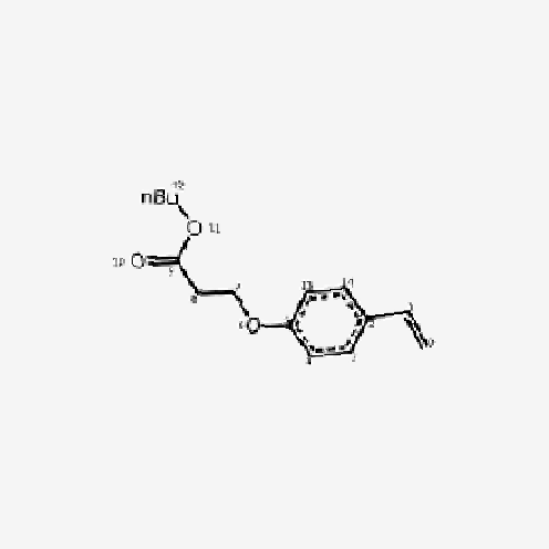 C=Cc1ccc(OCCC(=O)OCCCC)cc1